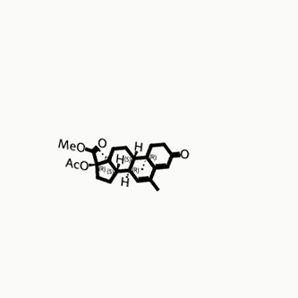 COC(=O)[C@@]1(OC(C)=O)CC[C@H]2[C@@H]3C=C(C)C4=CC(=O)CC[C@]4(C)[C@H]3CC[C@@]21C